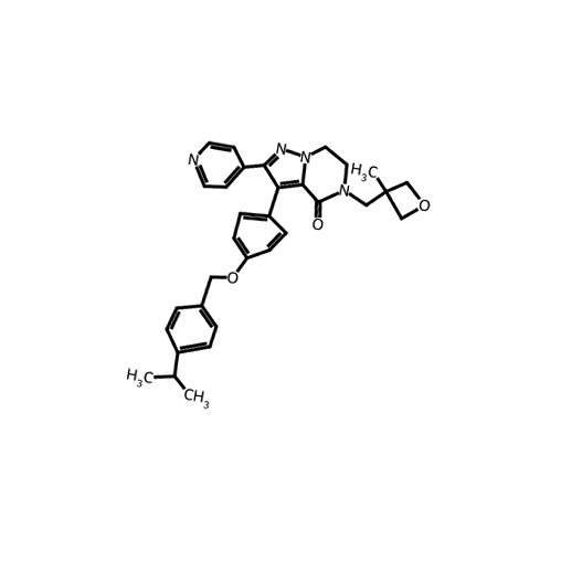 CC(C)c1ccc(COc2ccc(-c3c(-c4ccncc4)nn4c3C(=O)N(CC3(C)COC3)CC4)cc2)cc1